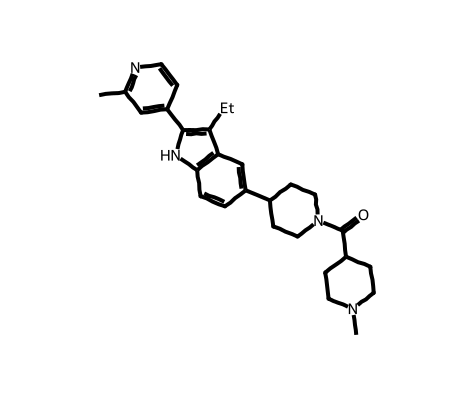 CCc1c(-c2ccnc(C)c2)[nH]c2ccc(C3CCN(C(=O)C4CCN(C)CC4)CC3)cc12